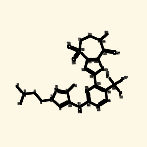 Cc1nn(CCN(C)C)cc1Nc1ncc(C(F)(F)F)c(-c2cc3c(s2)C(=O)N(C)CCS3(=O)=O)n1